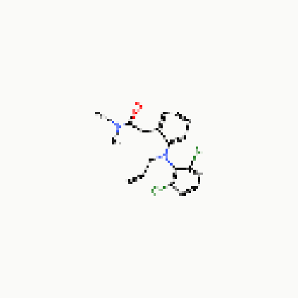 C=CCN(c1ccccc1CC(=O)N(CC)CC)c1c(Cl)cccc1Cl